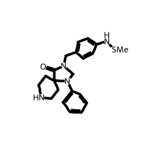 CSNc1ccc(CN2CN(c3ccccc3)C3(CCNCC3)C2=O)cc1